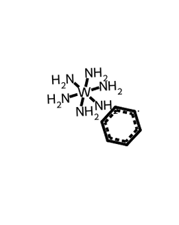 [NH2][W]([NH2])([NH2])([NH2])([NH2])[NH2].[c]1ccccc1